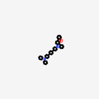 c1ccc(N(c2ccccc2)c2ccc(-c3ccc(-c4ccc(-n5c6ccccc6c6c7oc8ccccc8c7ccc65)cc4)cc3)cc2)cc1